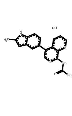 Cc1cc2cc(-c3cnc(NC(N)=O)c4ncccc34)ccc2[nH]1.Cl